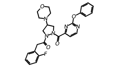 O=C(Cc1ccccc1F)N1CC(N2CCOCC2)CN1C(=O)c1ccnc(Oc2ccccc2)n1